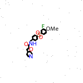 COc1ccc(S(=O)(=O)c2ccc(CNC(=O)c3cc4ccncc4o3)cc2)cc1F